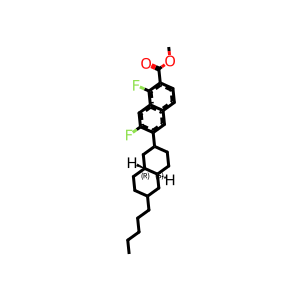 CCCCCC1CC[C@@H]2CC(c3cc4ccc(C(=O)OC)c(F)c4cc3F)CC[C@H]2C1